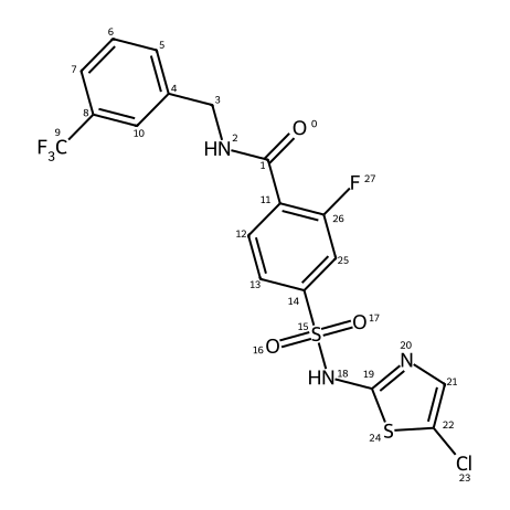 O=C(NCc1cccc(C(F)(F)F)c1)c1ccc(S(=O)(=O)Nc2ncc(Cl)s2)cc1F